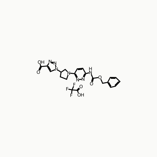 O=C(Nc1ccc(N2CCC(n3cc(C(=O)O)nn3)C2)nn1)OCc1ccccc1.O=C(O)C(F)(F)F